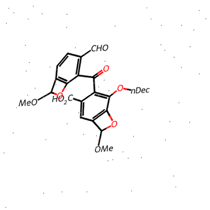 CCCCCCCCCCOc1c2c(cc(C(=O)O)c1C(=O)c1c(C=O)ccc3c1OC3OC)C(OC)O2